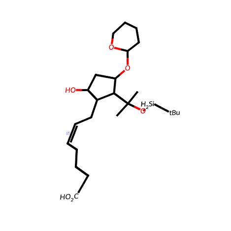 CC(C)(C)[SiH2]OC(C)(C)C1C(OC2CCCCO2)CC(O)C1C/C=C\CCCC(=O)O